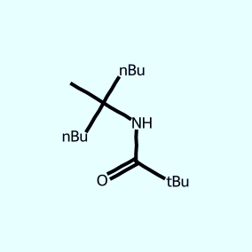 CCCCC(C)(CCCC)NC(=O)C(C)(C)C